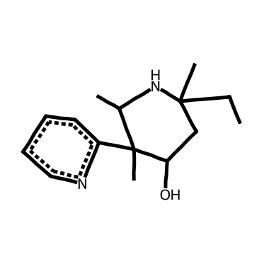 CCC1(C)CC(O)C(C)(c2ccccn2)C(C)N1